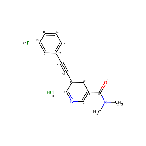 CN(C)C(=O)c1cncc(C#Cc2cccc(F)c2)c1.Cl